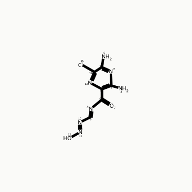 Nc1nc(N)c(C(=O)N=CN=NO)nc1Cl